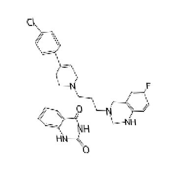 Fc1ccc2c(c1)CN(CCCN1CC=C(c3ccc(Cl)cc3)CC1)CN2.O=c1[nH]c(=O)c2ccccc2[nH]1